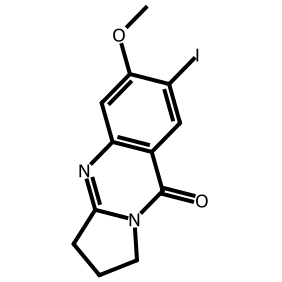 COc1cc2nc3n(c(=O)c2cc1I)CCC3